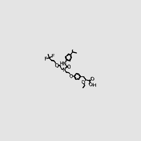 CCOC(Cc1ccc(OCCN(CCOCCC(C)(F)F)C(=O)Nc2ccc(C(C)C)cc2)cc1)C(=O)O